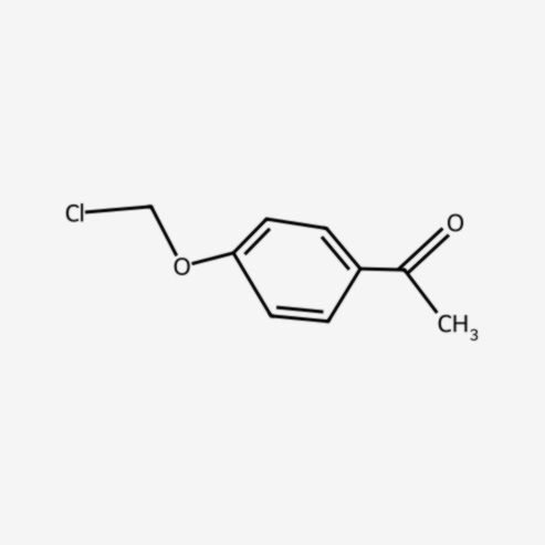 CC(=O)c1ccc(OCCl)cc1